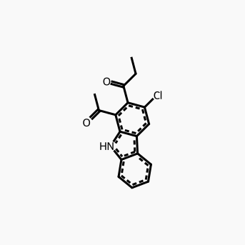 CCC(=O)c1c(Cl)cc2c([nH]c3ccccc32)c1C(C)=O